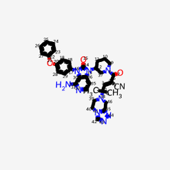 CC(C)(C=C(C#N)C(=O)N1CCCC(n2c(=O)n(-c3ccc(Oc4ccccc4)cc3)c3c(N)nccc32)C1)N1CCn2cnnc2C1